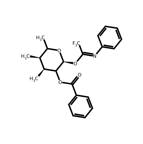 CC1O[C@@H](O/C(=N/c2ccccc2)C(F)(F)F)C(OC(=O)c2ccccc2)[C@@H](C)[C@H]1C